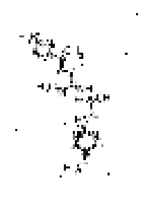 C=N/C(=C\C=C(/C)c1ncn(C)n1)NCC(C)CNc1ncc(SC)cn1